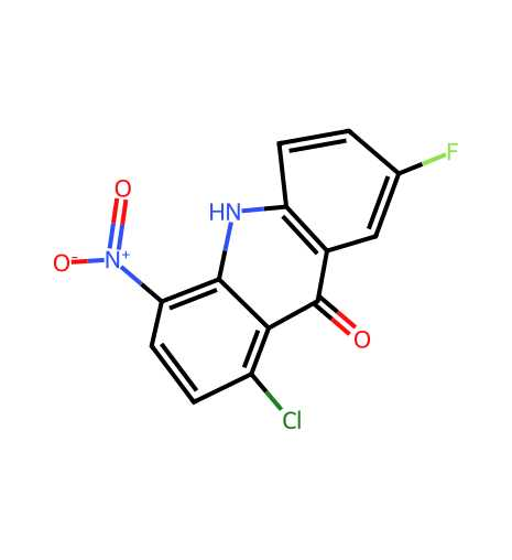 O=c1c2cc(F)ccc2[nH]c2c([N+](=O)[O-])ccc(Cl)c12